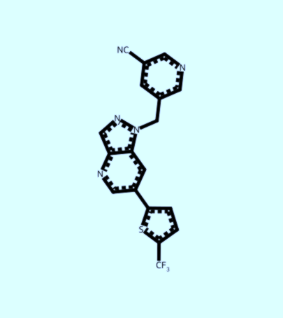 N#Cc1cncc(Cn2ncc3ncc(-c4ccc(C(F)(F)F)s4)cc32)c1